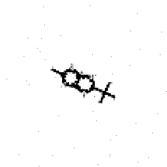 Cc1nc2sc(C(C)(C)C)nc2s1